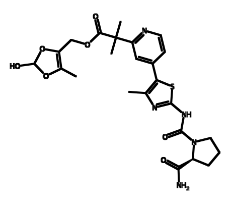 CC1=C(COC(=O)C(C)(C)c2cc(-c3sc(NC(=O)N4CCC[C@H]4C(N)=O)nc3C)ccn2)OC(O)O1